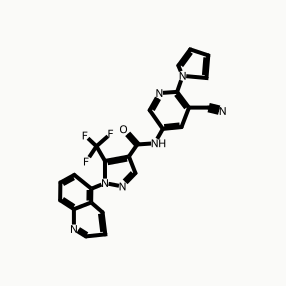 N#Cc1cc(NC(=O)c2cnn(-c3cccc4ncccc34)c2C(F)(F)F)cnc1-n1cccc1